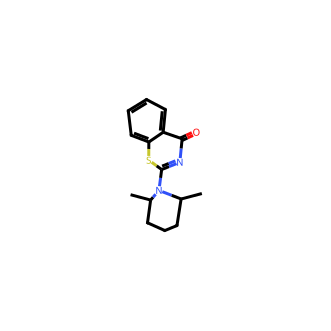 CC1CCCC(C)N1c1nc(=O)c2ccccc2s1